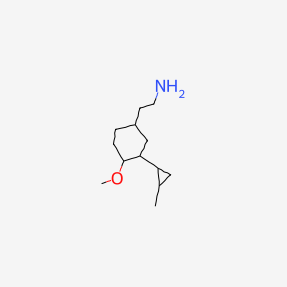 COC1CCC(CCN)CC1C1CC1C